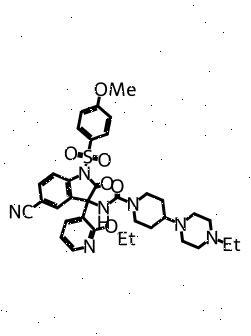 CCOc1ncccc1C1(NC(=O)N2CCC(N3CCN(CC)CC3)CC2)C(=O)N(S(=O)(=O)c2ccc(OC)cc2)c2ccc(C#N)cc21